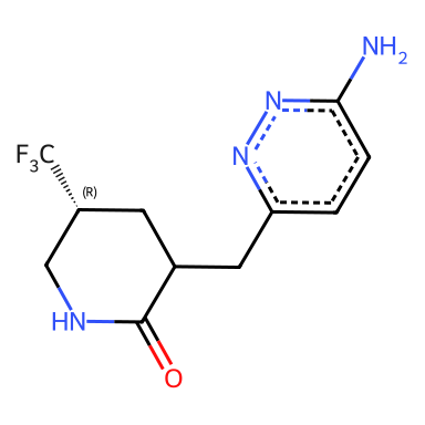 Nc1ccc(CC2C[C@@H](C(F)(F)F)CNC2=O)nn1